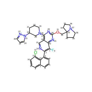 Fc1c(-c2cccc3cccc(Cl)c23)ncc2c(N3CCCC(n4cccn4)C3)nc(OCC34CCCN3CCC4)nc12